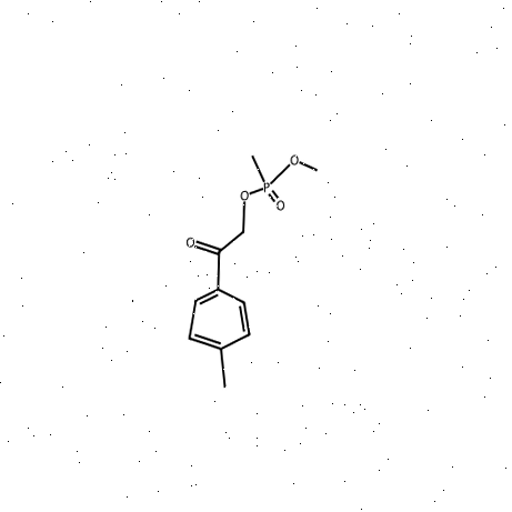 COP(C)(=O)OCC(=O)c1ccc(C)cc1